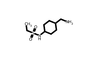 CCS(=O)(=O)NC1CCC(CN)CC1